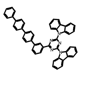 c1ccc(-c2ccc(-c3ccc(-c4cccc(-c5nc(-n6c7ccccc7c7ccccc76)nc(-n6c7ccccc7c7ccccc76)n5)c4)cc3)cc2)cc1